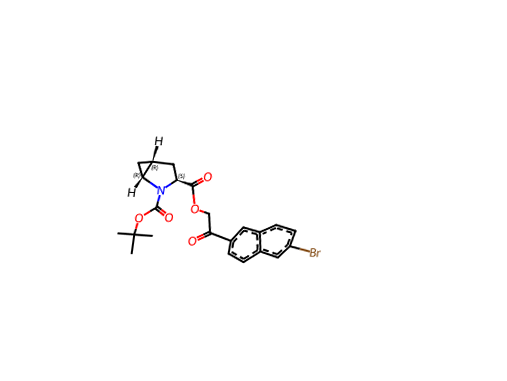 CC(C)(C)OC(=O)N1[C@@H]2C[C@@H]2C[C@H]1C(=O)OCC(=O)c1ccc2cc(Br)ccc2c1